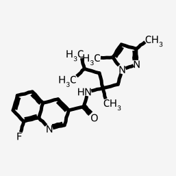 Cc1cc(C)n(CC(C)(CC(C)C)NC(=O)c2cnc3c(F)cccc3c2)n1